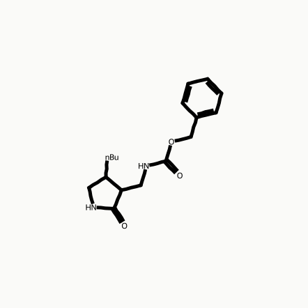 CCCCC1CNC(=O)C1CNC(=O)OCc1ccccc1